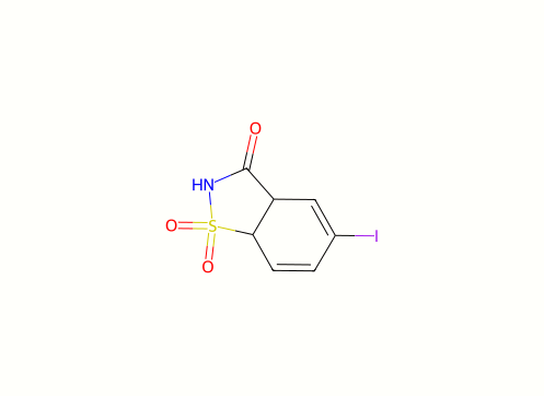 O=C1NS(=O)(=O)C2C=CC(I)=CC12